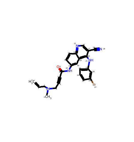 C=CCN(C)CC#CC(=O)Nc1ccc2ncc(C#N)c(Nc3cccc(Br)c3)c2c1